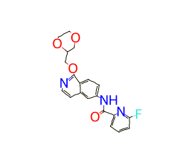 O=C(Nc1ccc2c(OCC3COCCO3)nccc2c1)c1cccc(F)n1